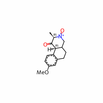 COc1ccc2c(c1)CCC1C[N+](=O)[C@H](C)C(=O)[C@@H]21